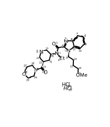 CCN(C(=O)c1nc2ccccc2n1CCCCOC)[C@@H]1CNC[C@H](C(=O)N2CCOCC2)C1.Cl.Cl